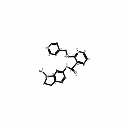 CC(=O)N1CCc2ccc(NC(=O)c3cccnc3NCc3ccncc3)cc21